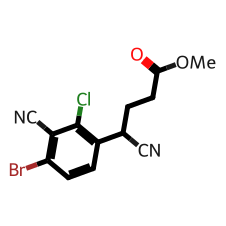 COC(=O)CCC(C#N)c1ccc(Br)c(C#N)c1Cl